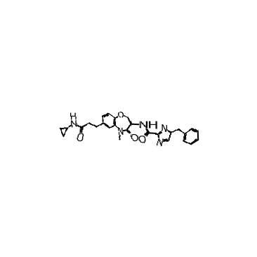 CN1C(=O)C(NC(=O)C2=NC(Cc3ccccc3)C=N2)COc2ccc(CCC(=O)NC3CC3)cc21